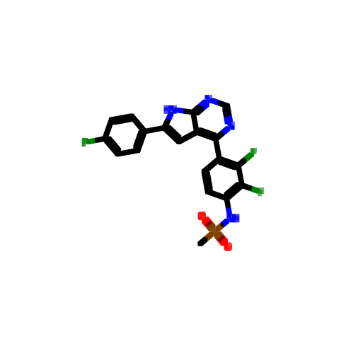 CS(=O)(=O)Nc1ccc(-c2ncnc3[nH]c(-c4ccc(F)cc4)cc23)c(F)c1F